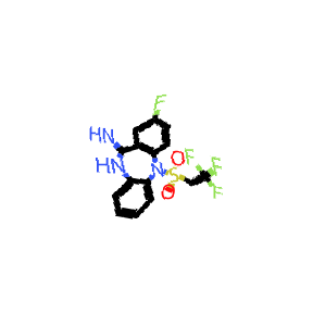 N=C1Nc2ccccc2N(S(=O)(=O)CC(F)(F)F)c2ccc(F)cc21